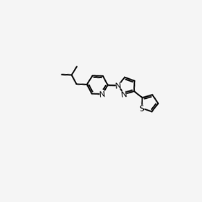 CC(C)Cc1ccc(-n2ccc(-c3cccs3)n2)nc1